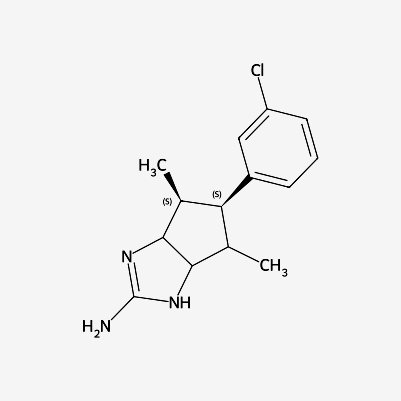 CC1C2NC(N)=NC2[C@@H](C)[C@H]1c1cccc(Cl)c1